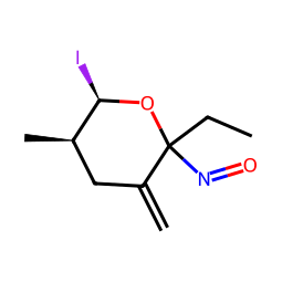 C=C1C[C@@H](C)[C@@H](I)OC1(CC)N=O